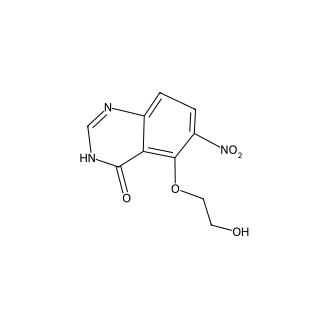 O=c1[nH]cnc2ccc([N+](=O)[O-])c(OCCO)c12